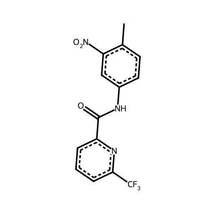 Cc1ccc(NC(=O)c2cccc(C(F)(F)F)n2)cc1[N+](=O)[O-]